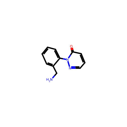 NCc1ccccc1-n1ncccc1=O